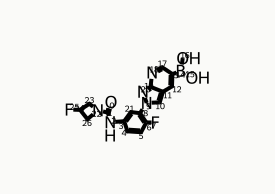 O=C(Nc1ccc(F)c(-n2cc3cc(B(O)O)cnc3n2)c1)N1CC(F)C1